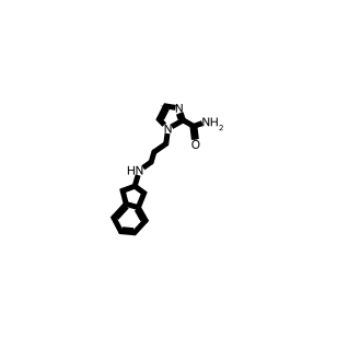 NC(=O)c1n[c]cn1CCCNC1Cc2ccccc2C1